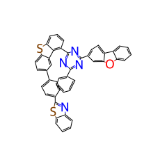 c1ccc(-c2nc(-c3ccc4c(c3)oc3ccccc34)nc(-c3cccc4sc5ccc(-c6ccc(-c7nc8ccccc8s7)cc6)cc5c34)n2)cc1